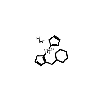 C1=CC[C]([Hf+2][C]2=C(CC3CCCCC3)C=CC2)=C1.[H-].[H-]